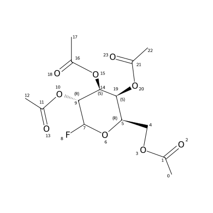 CC(=O)OC[C@H]1OC(F)[C@H](OC(C)=O)[C@@H](OC(C)=O)[C@H]1OC(C)=O